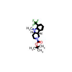 CN1c2c(cccc2C(F)(F)F)[C@H]2CN(C(=O)OC(C)(C)C)CC[C@H]21